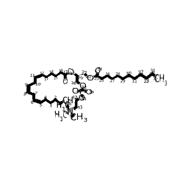 CCCCC/C=C\C/C=C\C/C=C\CCCCC(=O)O[C@H](COC(=O)CCCCCCCCCCC)COP(=O)([O-])OCC[N+](C)(C)C